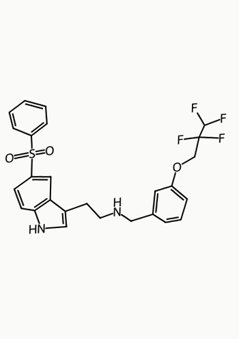 O=S(=O)(c1ccccc1)c1ccc2[nH]cc(CCNCc3cccc(OCC(F)(F)C(F)F)c3)c2c1